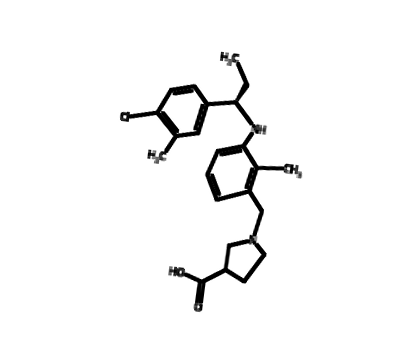 CC[C@@H](Nc1cccc(CN2CCC(C(=O)O)C2)c1C)c1ccc(Cl)c(C)c1